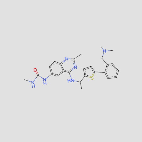 CNC(=O)Nc1ccc2nc(C)nc(NC(C)c3ccc(-c4ccccc4CN(C)C)s3)c2c1